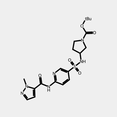 Cn1nccc1C(=O)Nc1ccc(S(=O)(=O)NC2CCN(C(=O)OC(C)(C)C)C2)cn1